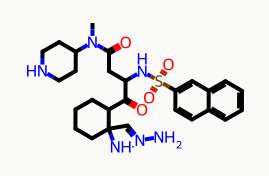 CN(C(=O)CC(NS(=O)(=O)c1ccc2ccccc2c1)C(=O)C1CCCCC1([NH])C=NN)C1CCNCC1